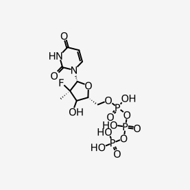 C[C@@]1(F)C(O)[C@@H](COP(=O)(O)OP(=O)(O)OP(=O)(O)O)O[C@H]1n1ccc(=O)[nH]c1=O